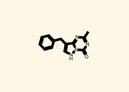 Cc1nc(=O)n2[nH]cc(Cc3ccccc3)c2n1